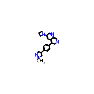 Cn1cc(-c2ccc(-c3cncc4ncc(N5C[CH]C5)cc34)cc2)cn1